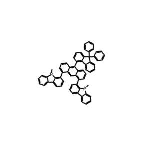 Cp1c2ccccc2c2cccc(-c3cccc4c(-c5cccc6c5-c5ccccc5C6(c5ccccc5)c5ccccc5)c5cccc(-c6cccc7c8ccccc8p(C)c67)c5cc34)c21